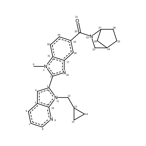 Cn1c(-c2cc3cccnc3n2CC2CC2)nc2cc(C(=O)N3CC4CCC3C4)ccc21